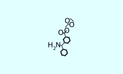 NC(c1ccccc1)c1cccc(C(=O)OCC2OCCO2)c1